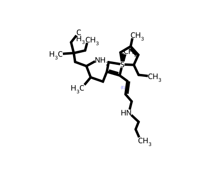 CCCNC/C=C/C1=C(CC(C)C(N)CC(C)(CC)CC)CS12(C)=CC(C)=CC2CC